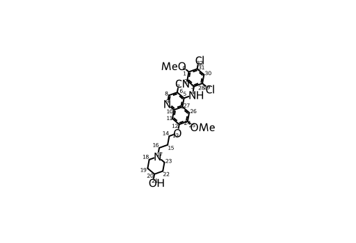 COc1cc(Nc2c(C#N)cnc3cc(OCCCN4CCC(O)CC4)c(OC)cc23)c(Cl)cc1Cl